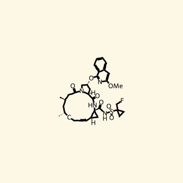 COc1cc2ccccc2c(O[C@@H]2C[C@H]3C(=O)N[C@]4(C(=O)NS(=O)(=O)C5(CF)CC5)C[C@H]4/C=C\CC[C@H](C)C[C@@H](C)CC(=O)N3C2)n1